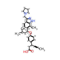 CC#CC(CC(=O)O)c1ccc(OC(CC(C)C)c2ccc3c(CN4CCCC4)n[nH]c3c2C)cc1